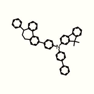 CC1(C)c2ccccc2-c2ccc(N(c3ccc(-c4ccccc4)cc3)c3ccc(-c4ccc5c(c4)-c4ccccc4C(c4ccccc4)CC5)cc3)cc21